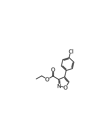 CCOC(=O)c1nocc1-c1ccc(Cl)cc1